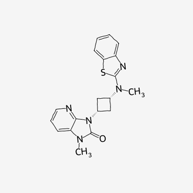 Cn1c(=O)n([C@H]2C[C@@H](N(C)c3nc4ccccc4s3)C2)c2ncccc21